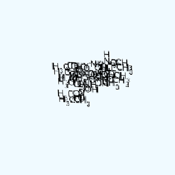 CN(C(=O)OC(C)(C)C)[C@@H]1[C@@H](O)[C@@H](O[C@@H]2[C@@H](O)[C@H](C3OC(CNCC4(O)CC(NC(=O)OC(C)(C)C)C4)=CC[C@H]3NC(=O)OC(C)(C)C)[C@@H](NC(=O)OC(C)(C)C)C[C@H]2NC(=O)C2(O)CN(C(=O)OC(C)(C)C)C2)OC[C@]1(C)O